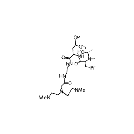 CNCCN(CCNC)CC(=O)NCCNC(=O)[C@H](CC(O)O)NC(=O)[C@H](CC(C)C)N(C)[C@@H](C)O